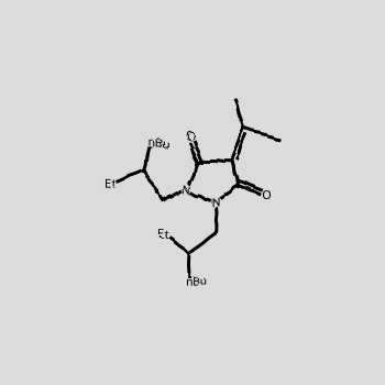 CCCCC(CC)CN1C(=O)C(=C(C)C)C(=O)N1CC(CC)CCCC